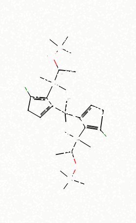 CC(O[Si](C)(C)C)[Si](C)(C)C1=C(Cl)CC=C1C(C)(C)C1=CCC(Cl)=C1[Si](C)(C)C(C)O[Si](C)(C)C.[Zr]